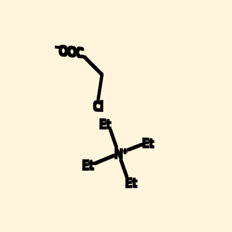 CC[N+](CC)(CC)CC.O=C([O-])CCl